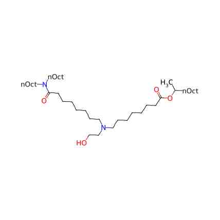 CCCCCCCCC(C)OC(=O)CCCCCCCN(CCO)CCCCCCCC(=O)N(CCCCCCCC)CCCCCCCC